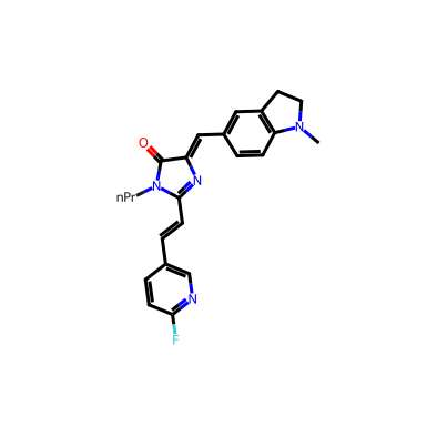 CCCN1C(=O)/C(=C/c2ccc3c(c2)CCN3C)N=C1/C=C/c1ccc(F)nc1